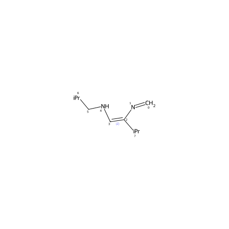 C=N/C(=C\NCC(C)C)C(C)C